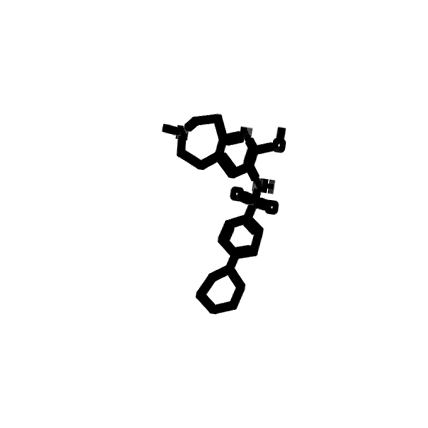 COc1nc2c(cc1NS(=O)(=O)c1ccc(C3CCCCC3)cc1)CCN(C)CC2